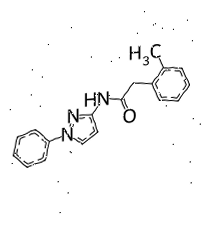 Cc1ccccc1CC(=O)Nc1ccn(-c2ccccc2)n1